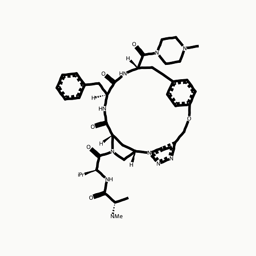 CN[C@@H](C)C(=O)N[C@H](C(=O)N1C[C@@H]2C[C@H]1C(=O)N[C@@H](Cc1ccccc1)C(=O)N[C@H](C(=O)N1CCN(C)CC1)Cc1ccc(cc1)OCc1cn2nn1)C(C)C